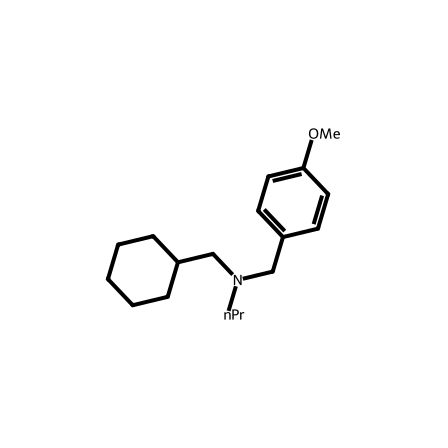 CCCN(Cc1ccc(OC)cc1)CC1CCCCC1